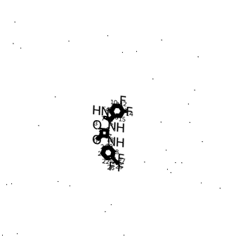 O=C1C(=O)C(Nc2c[nH]c3cc(F)c(F)cc23)C1Nc1cccc(C(F)(F)F)c1